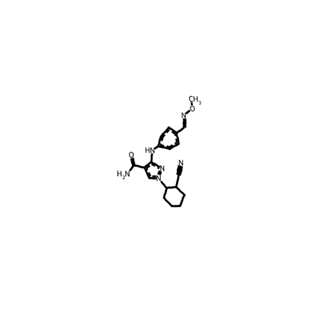 CON=Cc1ccc(Nc2nn(C3CCCCC3C#N)cc2C(N)=O)cc1